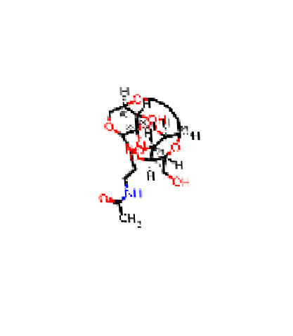 CC(=O)NCCCO[C@H]1C2OC[C@@H](OCCC[C@H]3O[C@H](CO)[C@@H](O2)[C@H](O)[C@H]3O)[C@@H]1O